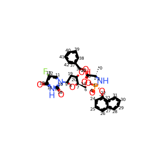 C[C@H](NP(=O)(OC[C@H]1O[C@@H](n2cc(F)c(=O)[nH]c2=O)CC1O)Oc1cccc2ccccc12)C(=O)OCc1ccccc1